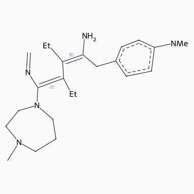 C=N/C(=C(CC)\C(CC)=C(\N)Cc1ccc(NC)cc1)N1CCCN(C)CC1